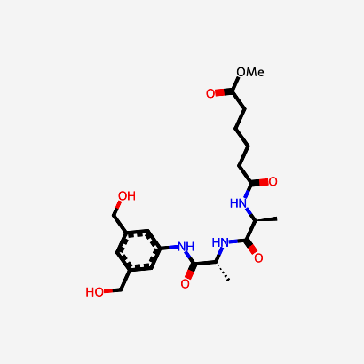 COC(=O)CCCCC(=O)N[C@@H](C)C(=O)N[C@H](C)C(=O)Nc1cc(CO)cc(CO)c1